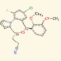 COc1cccc([C@H]2O[C@H](CCC#N)c3cccn3-c3c(F)cc(Cl)cc32)c1OC